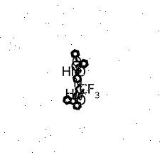 O=C(NCC(F)(F)F)C1(CCCCN2CCC(NS(=O)(=O)c3ccccc3Oc3ccccc3)CC2)c2ccccc2-c2ccccc21